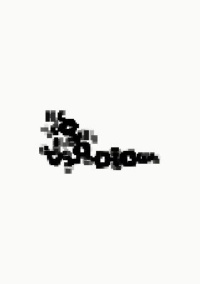 COc1ccc(S(=O)(=O)c2ccc(Oc3ccc(C(C)(C)c4ccc(C)c(C)c4)cc3CC(=O)OC3CCC(=O)N3)cc2)cc1